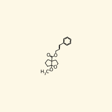 COC12CCCC1(C(=O)OC/C=C/c1ccccc1)CCO2